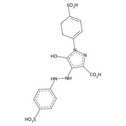 O=C(O)c1nn(C2=CC=C(S(=O)(=O)O)CC2)c(O)c1NNc1ccc(S(=O)(=O)O)cc1